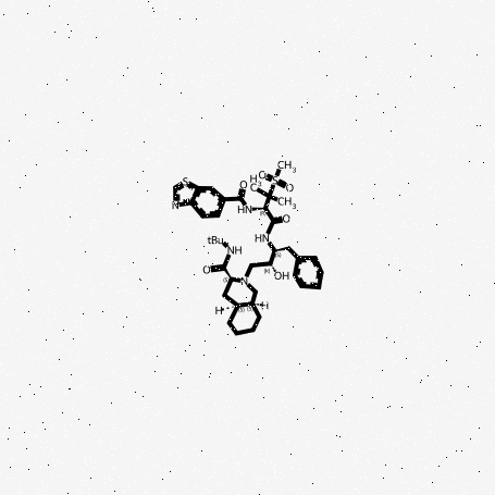 CC(C)(C)NC(=O)[C@@H]1C[C@@H]2CCCC[C@@H]2CN1C[C@@H](O)[C@H](Cc1ccccc1)NC(=O)[C@@H](NC(=O)c1ccc2ncsc2c1)C(C)(C)S(C)(=O)=O